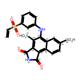 C=CS(=O)(=O)c1cccc(Nc2c(S(=O)(=O)O)c3c(c4ccc(S(=O)(=O)O)cc24)C(=O)NC3=O)c1